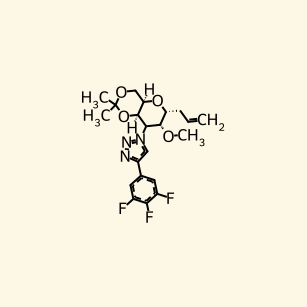 C=CC[C@H]1O[C@@H]2COC(C)(C)O[C@@H]2C(n2cc(-c3cc(F)c(F)c(F)c3)nn2)[C@H]1OC